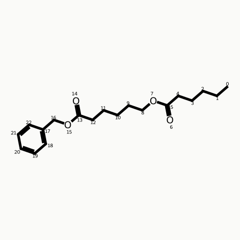 CCCCCC(=O)OCCCCCC(=O)OCc1ccccc1